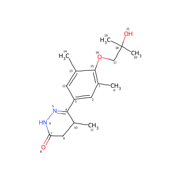 Cc1cc(C2=NNC(=O)CC2C)cc(C)c1OCC(C)(C)O